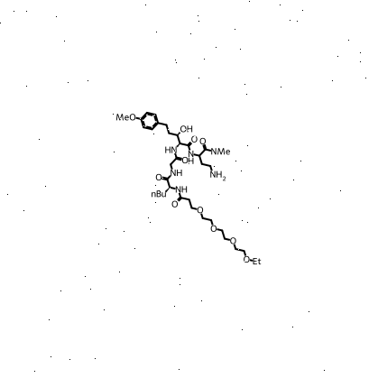 CCCC[C@H](NC(=O)CCOCCOCCOCCOCC)C(=O)NCC(=O)N[C@H](C(=O)NC(CCN)C(=O)NC)[C@H](O)CCc1ccc(OC)cc1